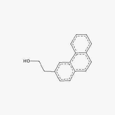 OCCc1ccc2ccc3ccccc3c2c1